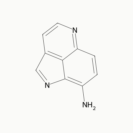 Nc1ccc2nccc3c2c1N=C3